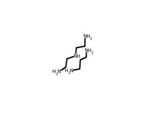 NCCCN.NCCNCCN